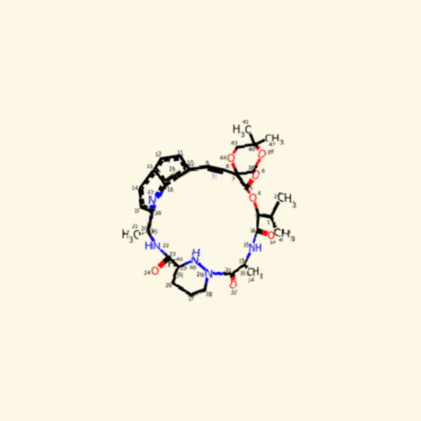 CC(C)C1OC(=O)C2(/C=C/c3ccc4ccc(nc4c3)[C@@H](C)NC(=O)[C@@H]3CCCN(N3)C(=O)[C@H](C)NC1=O)COC(C)(C)CO2